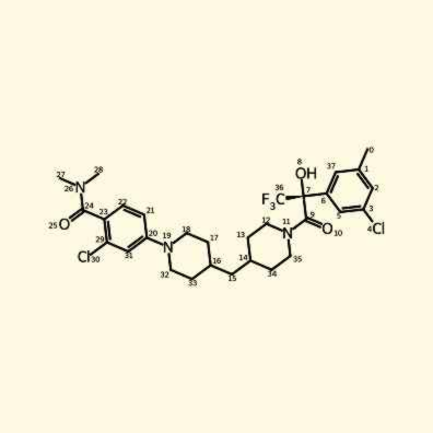 Cc1cc(Cl)cc([C@@](O)(C(=O)N2CCC(CC3CCN(c4ccc(C(=O)N(C)C)c(Cl)c4)CC3)CC2)C(F)(F)F)c1